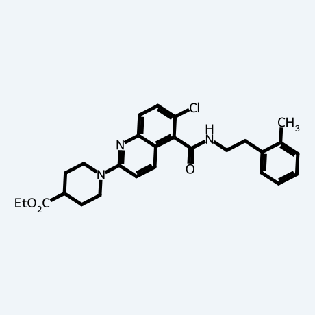 CCOC(=O)C1CCN(c2ccc3c(C(=O)NCCc4ccccc4C)c(Cl)ccc3n2)CC1